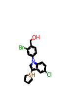 OCc1ccc(-n2cc([SH]3C=CC=C3)c3cc(Cl)ccc32)cc1Br